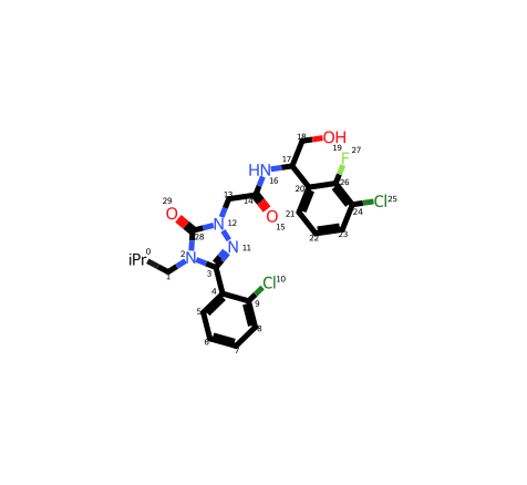 CC(C)Cn1c(-c2ccccc2Cl)nn(CC(=O)NC(CO)c2cccc(Cl)c2F)c1=O